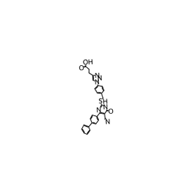 N#Cc1c(-c2ccc(-c3ccccc3)cc2)nc(SCc2ccc(-n3cc(CCC(=O)O)nn3)cc2)[nH]c1=O